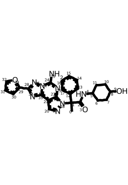 CC(C(=O)NC1CCC(O)CC1)(c1ccccc1)n1ncc2c1nc(N)n1nc(-c3ccco3)nc21